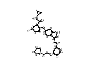 O=C(NC1CC1)c1cc(F)ccc1Sc1ccc2c(/C=C/c3cc(OCCN4CCCC4)ccn3)n[nH]c2c1